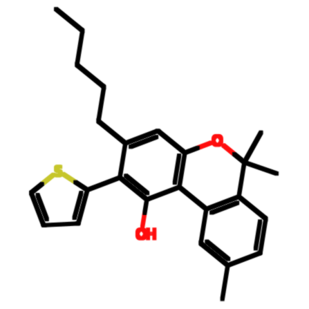 CCCCCc1cc2c(c(O)c1-c1cccs1)-c1cc(C)ccc1C(C)(C)O2